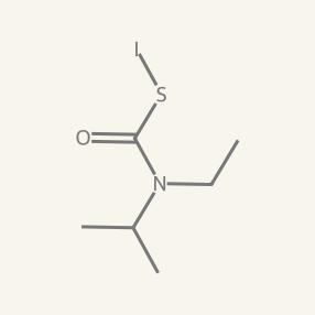 CCN(C(=O)SI)C(C)C